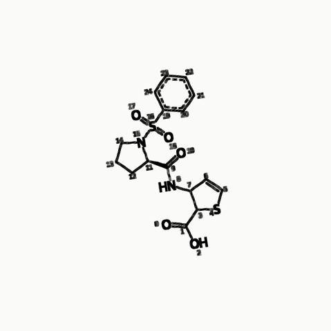 O=C(O)C1SC=CC1NC(=O)[C@H]1CCCN1S(=O)(=O)c1ccccc1